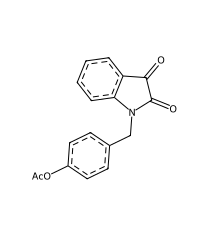 CC(=O)Oc1ccc(CN2C(=O)C(=O)c3ccccc32)cc1